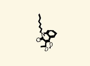 CCCCCCCn1c(=O)c(C(C)=O)c(OC)c2ccccc21